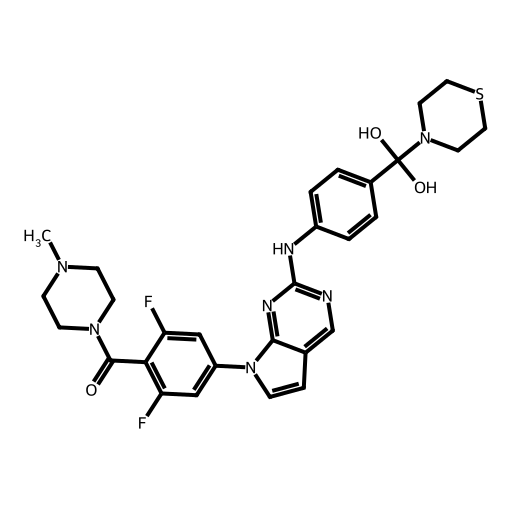 CN1CCN(C(=O)c2c(F)cc(-n3ccc4cnc(Nc5ccc(C(O)(O)N6CCSCC6)cc5)nc43)cc2F)CC1